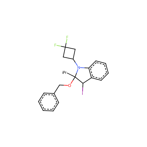 CC(C)C1(OCc2ccccc2)C(I)c2ccccc2N1C1CC(F)(F)C1